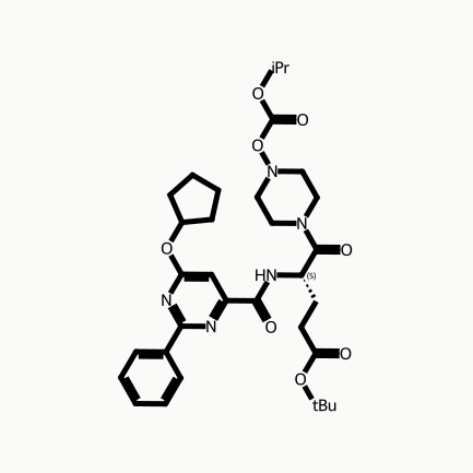 CC(C)OC(=O)ON1CCN(C(=O)[C@H](CCC(=O)OC(C)(C)C)NC(=O)c2cc(OC3CCCC3)nc(-c3ccccc3)n2)CC1